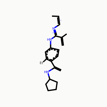 C=C(C)/C(=N\C=C/C)Nc1ccc(C(=C)NC2CCCC2)c(CC)c1